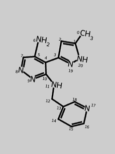 Cc1cc(-c2c(N)cnnc2NCc2cccnc2)n[nH]1